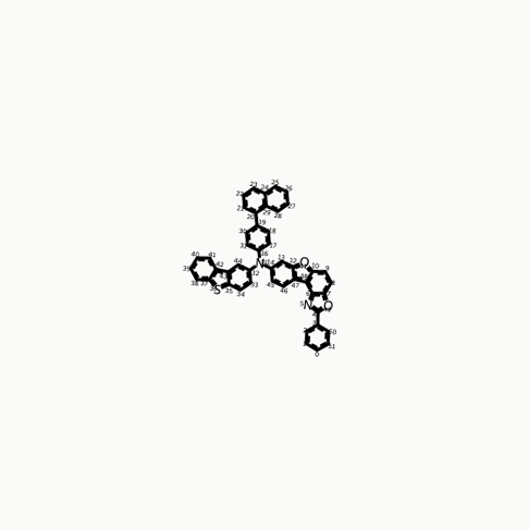 c1ccc(-c2nc3c(ccc4oc5cc(N(c6ccc(-c7cccc8ccccc78)cc6)c6ccc7sc8ccccc8c7c6)ccc5c43)o2)cc1